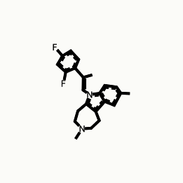 C/C(=C\n1c2c(c3cc(C)ccc31)CCN(C)CC2)c1ccc(F)cc1F